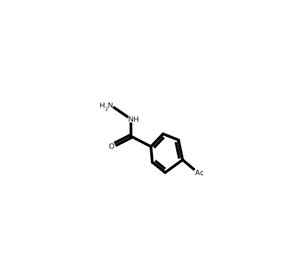 CC(=O)c1ccc(C(=O)NN)cc1